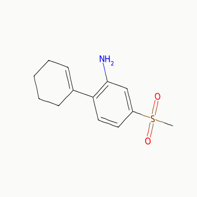 CS(=O)(=O)c1ccc(C2=CCCCC2)c(N)c1